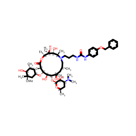 CC[C@H]1OC(=O)[C@H](C)[C@@H](O[C@@H]2C[C@@H](C)[C@H](O)[C@](C)(OC)C2)[C@H](O)[C@@H](O[C@@H]2O[C@H](C)C[C@H](N(C)C)[C@H]2O)[C@](C)(O)C[C@@H](C)CN(CCCNC(=O)Nc2ccc(OCc3ccccc3)cc2)[C@H](C)[C@@H](O)[C@]1(C)O